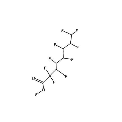 O=C(OF)C(F)(F)C(F)C(F)C(F)C(F)C(F)C(F)F